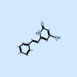 O=c1cc(O)cc(C=Cc2ccccc2)[nH]1